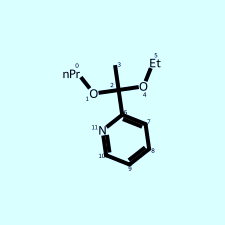 CCCOC(C)(OCC)c1ccccn1